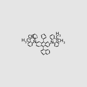 CC1(C)C2=C(CCC=C2)N(c2ccc3c(-c4cccc5ccccc45)c4ccc(N5c6ccccc6C(C)(C)c6ccccc65)cc4c(-c4ccccc4)c3c2)c2ccccc21